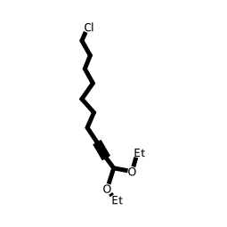 CCOC(C#CCCCCCCCCl)OCC